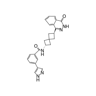 O=C(N[C@H]1CC2(C1)C[C@H](c1n[nH]c(=O)c3ccccc31)C2)c1cccc(-c2cn[nH]c2)c1